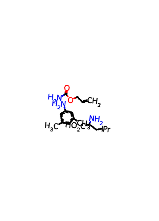 C=CCOC(N)=O.CC(C)CC(N)C(=O)O.Cc1cc(C)cc(N)c1